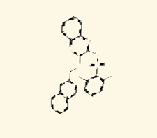 O=S(=O)(Nc1nc2ccccc2nc1OCc1ccc2ccccc2c1)c1c(Cl)cccc1Cl